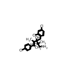 CC(=C(C)C(O)(Cc1ccc(Cl)cc1Cl)C(C)(C)CN)c1ccc(Cl)cc1